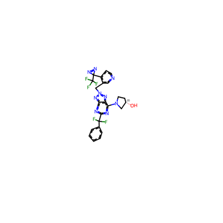 O[C@H]1CCN(c2nc(C(F)(F)c3ccccc3)nc3nn(Cc4cnccc4C4(C(F)(F)F)N=N4)nc23)C1